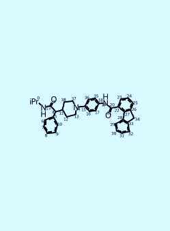 CC(C)NC(=O)C(c1ccccc1)C1CCN(c2ccc(NC(=O)c3cccc4c3-c3ccccc3C4)cc2)CC1